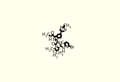 CNC(=O)c1nn(CC(=O)N2[C@H](C(=O)Nc3nc(Br)ccc3C)CC(C)(C)[C@H]2C)c2ccc(-c3cnc(C)nc3)cc12